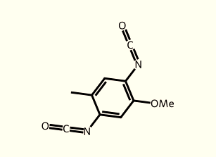 COc1cc(N=C=O)c(C)cc1N=C=O